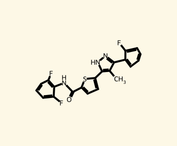 Cc1c(-c2ccccc2F)n[nH]c1-c1ccc(C(=O)Nc2c(F)cccc2F)s1